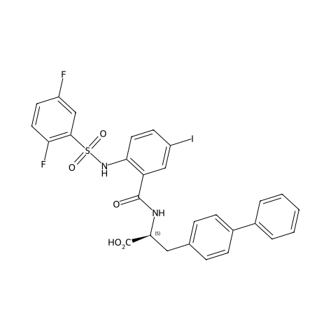 O=C(N[C@@H](Cc1ccc(-c2ccccc2)cc1)C(=O)O)c1cc(I)ccc1NS(=O)(=O)c1cc(F)ccc1F